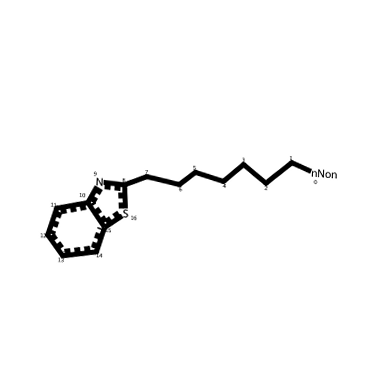 CCCCCCCCCCCCCCCCc1nc2ccccc2s1